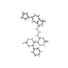 CN1CCN(C2CCNCC2CCCc2c[nH]c3ccc(-n4cnnc4)cc23)C(c2ccccc2)C1